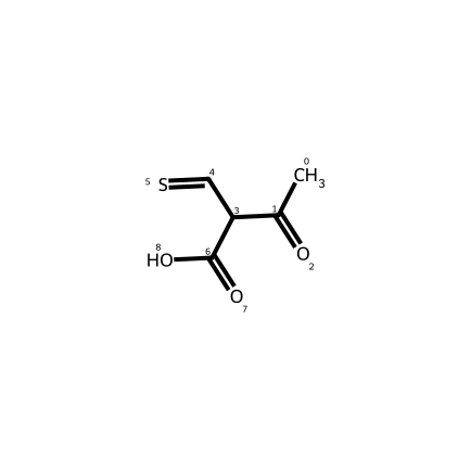 CC(=O)C(C=S)C(=O)O